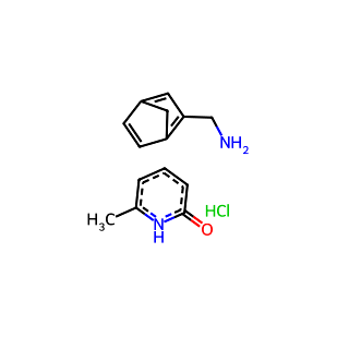 Cc1cccc(=O)[nH]1.Cl.NCC1=C2C=CC(=C1)C2